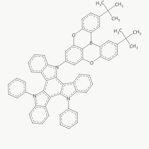 CC(C)(C)c1ccc2c(c1)B1c3cc(C(C)(C)C)ccc3Oc3cc(-n4c5ccccc5c5c6c(c7ccccc7n6-c6ccccc6)c6c(c7ccccc7n6-c6ccccc6)c54)cc(c31)O2